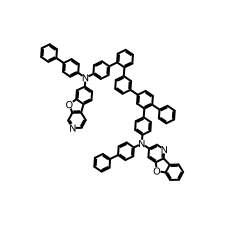 c1ccc(-c2ccc(N(c3ccc(-c4ccccc4-c4cccc(-c5ccc(-c6ccccc6)c(-c6ccc(N(c7ccc(-c8ccccc8)cc7)c7cnc8c(c7)oc7ccccc78)cc6)c5)c4)cc3)c3ccc4c(c3)oc3cnccc34)cc2)cc1